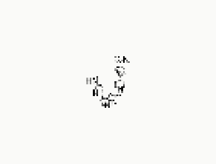 CNc1ccc(-c2ccnc3c2cc(C(C)N2CCC(c4ccc(C(=O)N(C)C)cc4)CC2)n3C)nc1